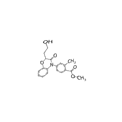 COC(=O)c1ccc(N2C(=O)C(CCO)Oc3ccccc32)cc1C